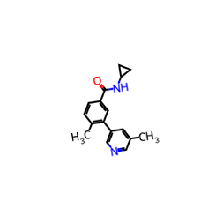 Cc1cncc(-c2cc(C(=O)NC3CC3)ccc2C)c1